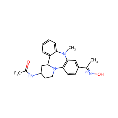 C/C(=N\O)c1ccc2c(c1)N(C)c1ccccc1C1CC(NC(=O)C(F)(F)F)CCN21